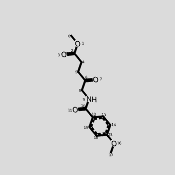 COC(=O)CCC(=O)CNC(=O)c1ccc(OC)cc1